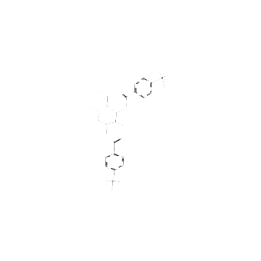 CCCC(OC(=O)c1ccc(C(C)(C)C)cc1)C(C)C(CCC)OC(=O)c1ccc(C(C)(C)C)cc1